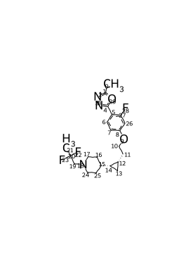 Cc1nnc(-c2ccc(OCC[C@@H]3C[C@@H]3C3CCN(CC(C)(F)F)CC3)cc2F)o1